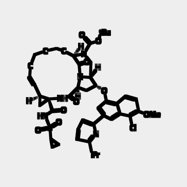 COc1ccc2c(O[C@@H]3C[C@H]4C(=O)N[C@]5(C(=O)NS(=O)(=O)C6CC6)C[C@H]5/C=C\CCCCC[C@@H]5C(=O)N4[C@@H]3CN5C(=O)OC(C)(C)C)cc(-c3cccc(C(C)C)n3)cc2c1Cl